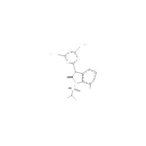 COc1nc(OC)nc(C2C(=O)N(S(=O)(=O)C(F)F)c3c(F)cccc32)n1